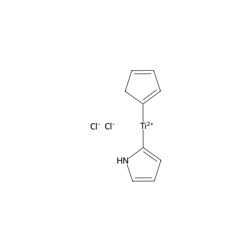 C1=CC[C]([Ti+2][c]2ccc[nH]2)=C1.[Cl-].[Cl-]